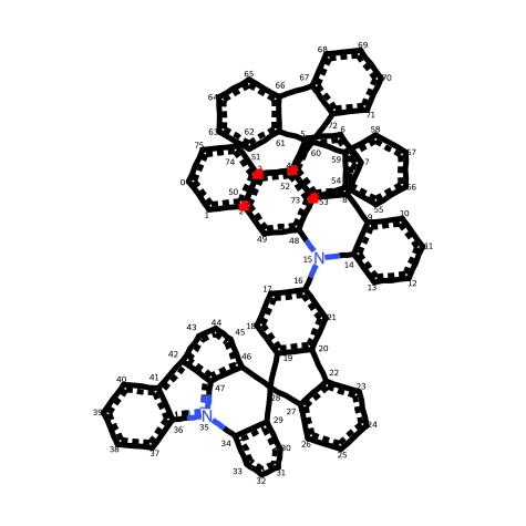 c1ccc(-c2cccc(-c3ccccc3N(c3ccc4c(c3)-c3ccccc3C43c4ccccc4-n4c5ccccc5c5cccc3c54)c3cccc4c3-c3ccccc3C43c4ccccc4-c4ccccc43)c2)cc1